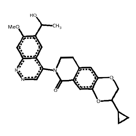 COc1cc2nncc(N3CCc4cc5c(cc4C3=O)OC(C3CC3)CO5)c2cc1C(C)O